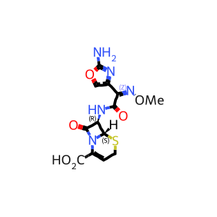 CO/N=C(\C(=O)N[C@@H]1C(=O)N2C(C(=O)O)=CCS[C@@H]12)c1coc(N)n1